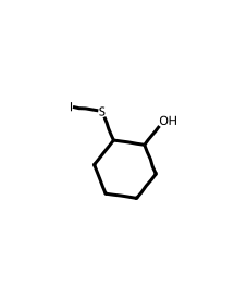 OC1CCCCC1SI